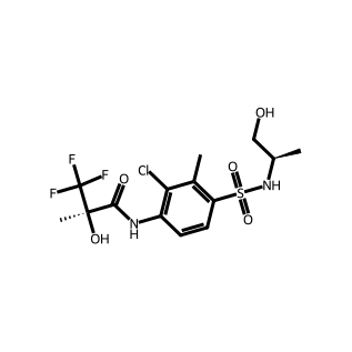 Cc1c(S(=O)(=O)N[C@H](C)CO)ccc(NC(=O)[C@@](C)(O)C(F)(F)F)c1Cl